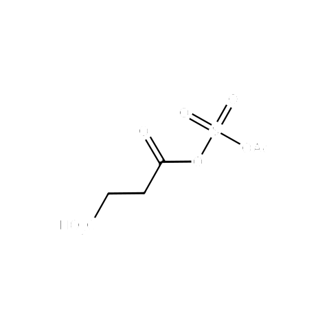 CC(=O)OS(=O)(=O)OC(=O)CCC(=O)O